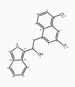 OC(Cc1cc(C(F)(F)F)nc2c(C(F)(F)F)cccc12)c1occ2ccccc12